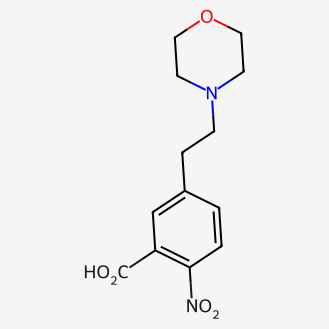 O=C(O)c1cc(CCN2CCOCC2)ccc1[N+](=O)[O-]